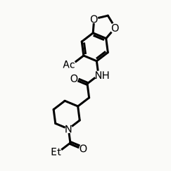 CCC(=O)N1CCCC(CC(=O)Nc2cc3c(cc2C(C)=O)OCO3)C1